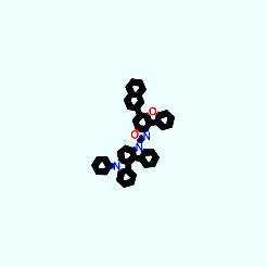 c1ccc(-n2c3ccccc3c3c4c5ccccc5n(-c5nc6c(cc(-c7ccc8ccccc8c7)c7oc8ccccc8c76)o5)c4ccc32)cc1